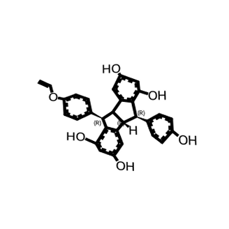 C=COc1ccc([C@@H]2c3c(O)cc(O)cc3[C@@H]3C2c2cc(O)cc(O)c2[C@H]3c2ccc(O)cc2)cc1